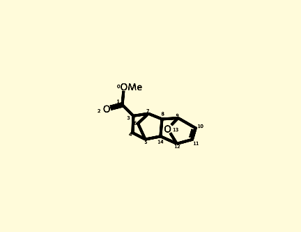 COC(=O)C1CC2CC1C1C3C=CC(O3)C21